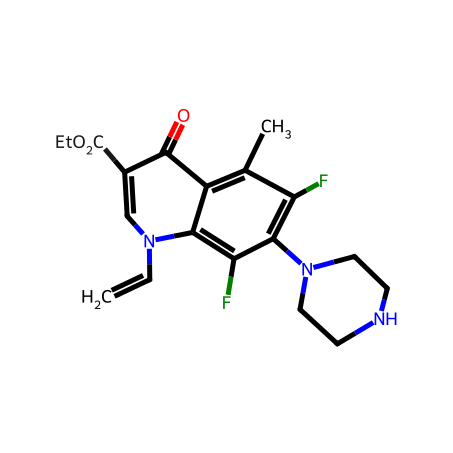 C=Cn1cc(C(=O)OCC)c(=O)c2c(C)c(F)c(N3CCNCC3)c(F)c21